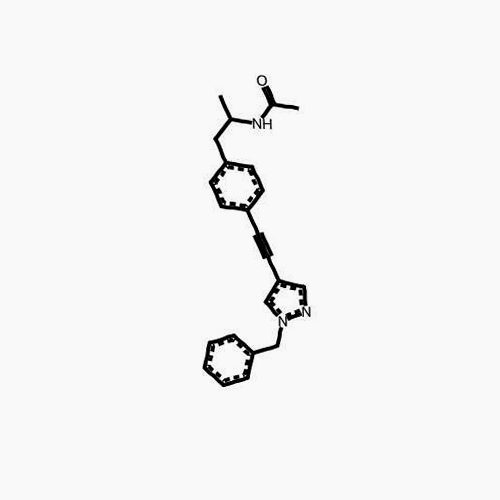 CC(=O)NC(C)Cc1ccc(C#Cc2cnn(Cc3ccccc3)c2)cc1